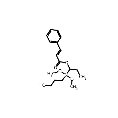 CCCC[Si](OC)(OC)C(CC)OC(=O)C=Cc1ccccc1